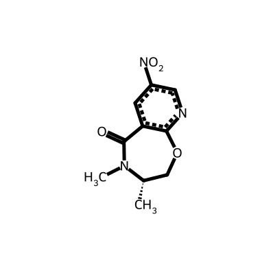 C[C@H]1COc2ncc([N+](=O)[O-])cc2C(=O)N1C